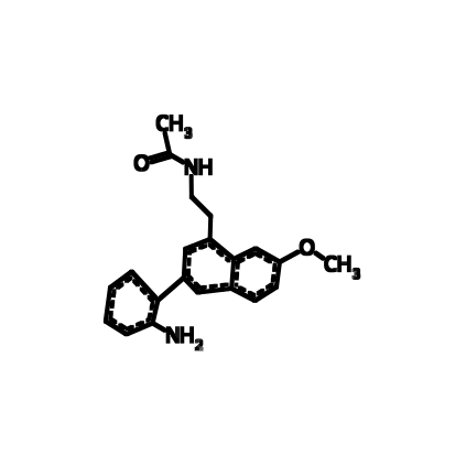 COc1ccc2cc(-c3ccccc3N)cc(CCNC(C)=O)c2c1